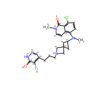 CN(c1ccc(Cl)c2c(=O)n(C)ccc12)C1CC2(C1)CN(CCCc1cn[nH]c(=O)c1Cl)C2